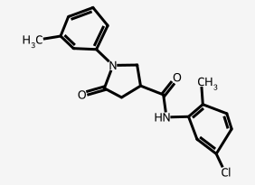 Cc1cccc(N2CC(C(=O)Nc3cc(Cl)ccc3C)CC2=O)c1